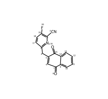 N#Cc1nc(CC2=CC(=O)c3ccccc3C2=O)ccc1F